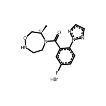 Br.C[C@@H]1CONCCN1C(=O)c1cc(F)ccc1-n1nccn1